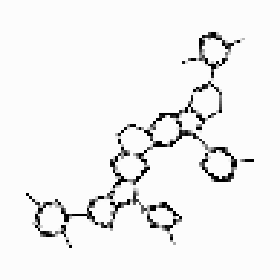 Cc1ccnc(-n2c3c(c4cc5c(cc42)-c2cc4c(cc2CC5)c2cc(-c5cc(C)ccc5C)ccc2n4-n2ccc(C)c2)C=C(c2cc(C)ccc2C)CC3)c1